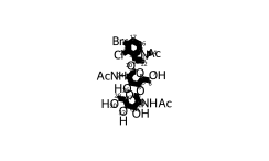 CC(=O)NC1[C@H](O[C@@H]2C(CO)OC(Oc3cn(C(C)=O)c4ccc(Br)c(Cl)c34)C(NC(C)=O)[C@H]2O)OC(CO)[C@@H](O)[C@@H]1O